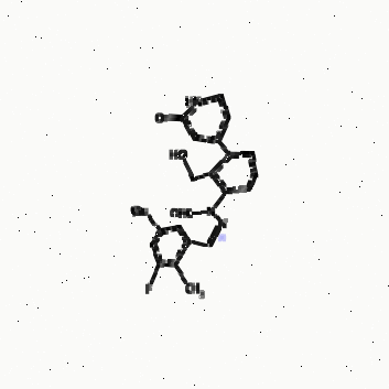 Cc1c(F)cc(C(C)(C)C)cc1/C=N\N(C=O)c1cccc(-c2cc[nH]c(=O)c2)c1CO